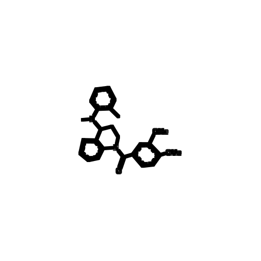 COc1ccc(C(=O)N2CCC(N(C)c3ccccc3C)c3ccccc32)cc1OC